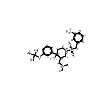 [2H]C([2H])([2H])Oc1cccc(C2(O)CCN(S(=O)(=O)Cc3cccc(C(F)(F)F)c3)CC2CN(C)C)c1